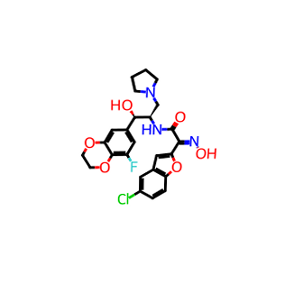 O=C(N[C@H](CN1CCCC1)[C@H](O)c1cc(F)c2c(c1)OCCO2)/C(=N/O)c1cc2cc(Cl)ccc2o1